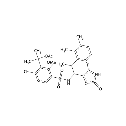 COc1c(S(=O)(=O)NC(c2n[nH]c(=O)o2)C(C)c2c(F)ccc(C)c2C)ccc(Cl)c1C(C)(C)OC(C)=O